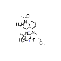 C=Cc1c(N(N)C(C)=O)cccc1N(CCCOC)C(=N/C(=C)Cl)/C(F)=C\N